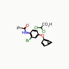 CC(C)C(=O)Nc1ccc(Oc2ccc3cc2-3)cc1Br.O=C(O)C(Cl)Cl